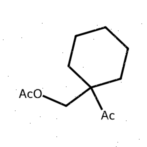 CC(=O)OCC1(C(C)=O)CCCCC1